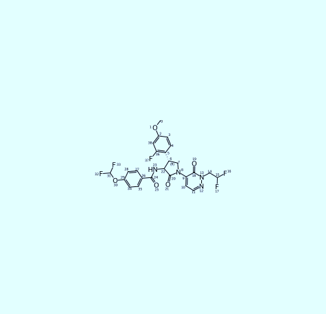 COc1ccc([C@@H]2CN(c3ccnn(CC(F)F)c3=O)C(=O)C2NC(=O)c2ccc(OC(F)F)cc2)c(F)c1